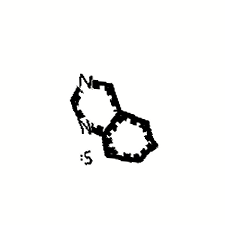 [S].c1ccc2ncncc2c1